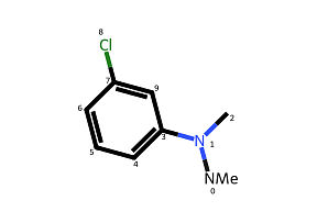 CNN(C)c1cccc(Cl)c1